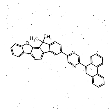 CC1(C)c2ccc(-c3cnc(-c4cc5ccccc5c5ccccc45)cn3)cc2-c2ccc3c(oc4ccccc43)c21